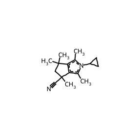 Cc1c2c(c(C)n1C1CC1)C(C)(C#N)CC2(C)C